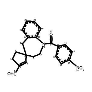 O=CC1=CC2(CC1)CCN(C(=O)c1ccc([N+](=O)[O-])cc1)c1ccccc1C2